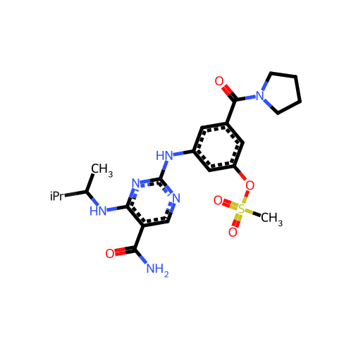 CC(C)C(C)Nc1nc(Nc2cc(OS(C)(=O)=O)cc(C(=O)N3CCCC3)c2)ncc1C(N)=O